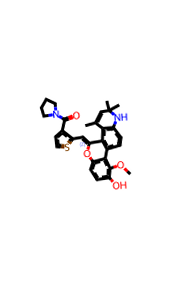 COc1c(O)ccc2c1-c1ccc3c(c1/C(=C/c1sccc1C(=O)N1CCCC1)O2)C(C)=CC(C)(C)N3